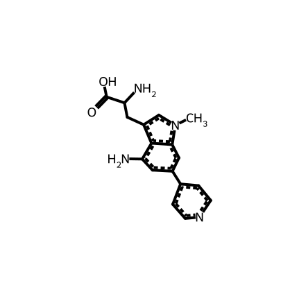 Cn1cc(CC(N)C(=O)O)c2c(N)cc(-c3ccncc3)cc21